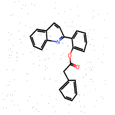 O=C(Cc1ccccc1)Oc1ccccc1-c1ccc2ccccc2n1